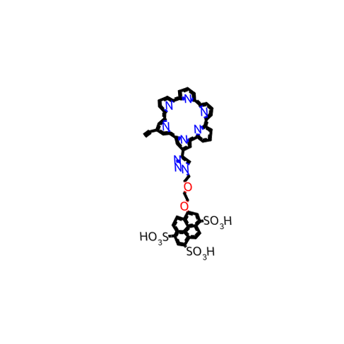 C#Cc1cc2nc(c1)c1cc(-c3cn(CCOCCOc4cc(S(=O)(=O)O)c5ccc6c(S(=O)(=O)O)cc(S(=O)(=O)O)c7ccc4c5c76)nn3)cc(n1)c1cccc(n1)c1cccc(n1)c1cccc(n1)c1cccc2n1